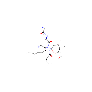 CCCCCCCCCCCCCCN(C(=O)CCCCCCCCCCC)[C@@]1(N(C(=O)CN)C(=O)CNC(=O)CN)C[C@@H](O)[C@H](O)[C@@H](CO)O1